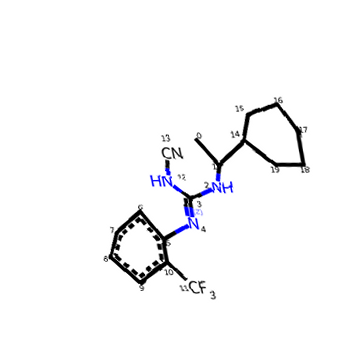 CC(N/C(=N/c1ccccc1C(F)(F)F)NC#N)C1CCCCC1